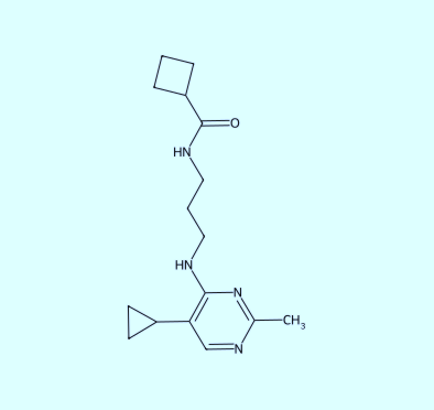 Cc1ncc(C2CC2)c(NCCCNC(=O)C2CCC2)n1